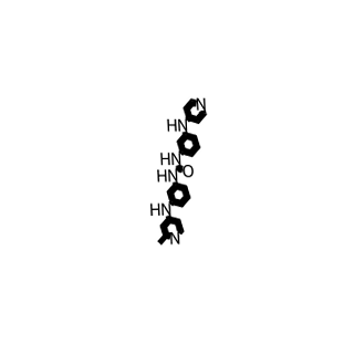 Cc1cc(Nc2cccc(NC(=O)Nc3cccc(Nc4ccncc4)c3)c2)ccn1